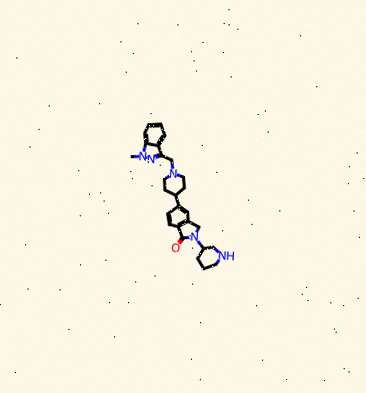 Cn1nc(CN2CCC(c3ccc4c(c3)CN(C3CCCNC3)C4=O)CC2)c2ccccc21